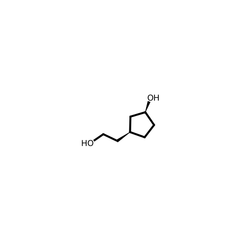 OCC[C@@H]1CC[C@H](O)C1